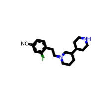 N#Cc1ccc(CCN2CCCC(C3CCNCC3)C2)c(F)c1